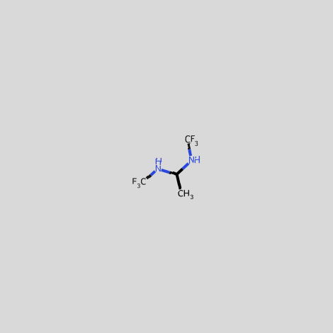 CC(NC(F)(F)F)NC(F)(F)F